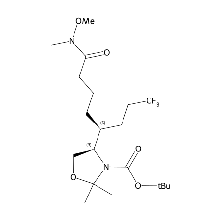 CON(C)C(=O)CCC[C@@H](CCC(F)(F)F)[C@@H]1COC(C)(C)N1C(=O)OC(C)(C)C